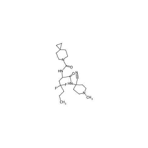 CCCC(F)(F)CC(NC(=O)N1CCC2(CC1)CC2)C(=O)NC1(C#N)CCN(C)CC1